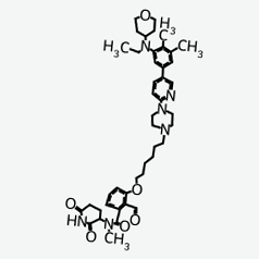 CCN(c1cc(-c2ccc(N3CCN(CCCCCCOc4cccc(C(=O)N(C)C5CCC(=O)NC5=O)c4C=O)CC3)nc2)cc(C)c1C)C1CCOCC1